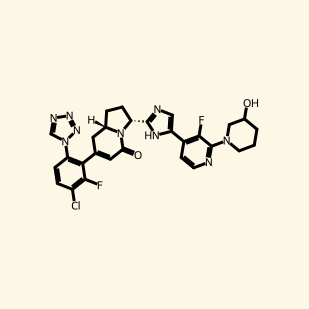 O=C1C=C(c2c(-n3cnnn3)ccc(Cl)c2F)C[C@@H]2CC[C@H](c3ncc(-c4ccnc(N5CCCC(O)C5)c4F)[nH]3)N12